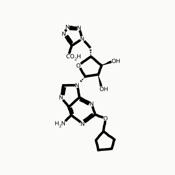 Nc1nc(OC2CCCC2)nc2c1ncn2[C@@H]1O[C@H](Cn2nnnc2C(=O)O)[C@@H](O)[C@H]1O